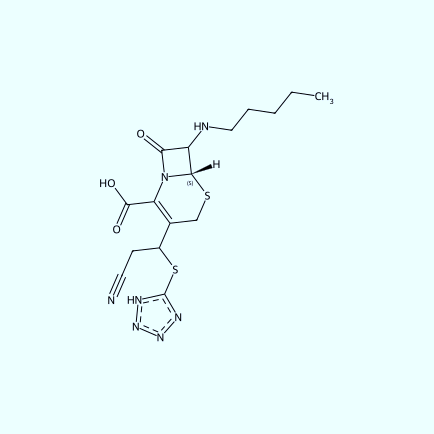 CCCCCNC1C(=O)N2C(C(=O)O)=C(C(CC#N)Sc3nnn[nH]3)CS[C@@H]12